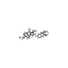 C[C@H]1[C@H](CCc2ccc3cc(Br)c(N)nc3c2)[C@@H](O)[C@@H](O)[C@@H]1n1ccc2c(N)ncnc21